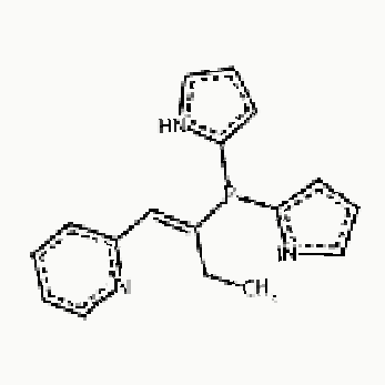 CCC(=Cc1ccccn1)P(c1ccc[nH]1)c1ccc[nH]1